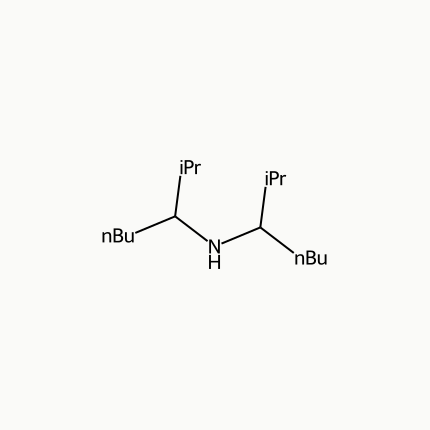 CCCCC(NC(CCCC)C(C)C)C(C)C